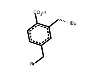 CC[C@@H](C)Cc1cc(CBr)ccc1C(=O)O